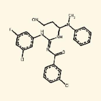 CN(c1ccccc1)C(CCN=O)N/C(=N\C(=O)c1cccc(Cl)c1)Nc1cc(F)cc(Cl)c1